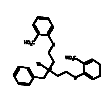 CC[N+](CCSc1ccccc1C(=O)O)(CCSc1ccccc1C(=O)O)Cc1ccccc1